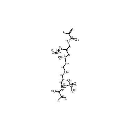 C=C(C)C(=O)OCC(COCCOCC(COC(=O)C(=C)C)OP(=O)(O)O)O[PH](=O)O